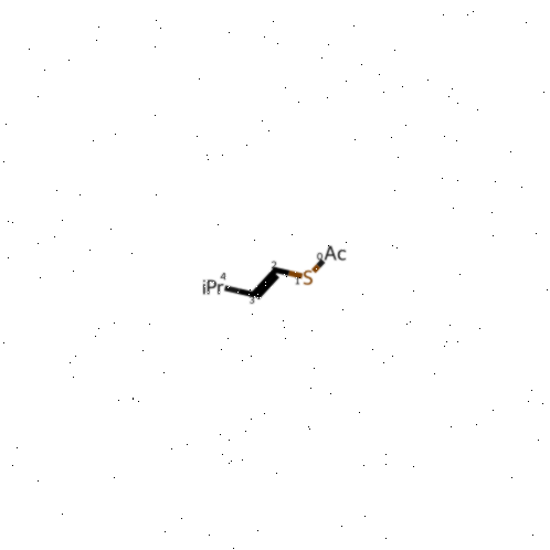 CC(=O)SC=CC(C)C